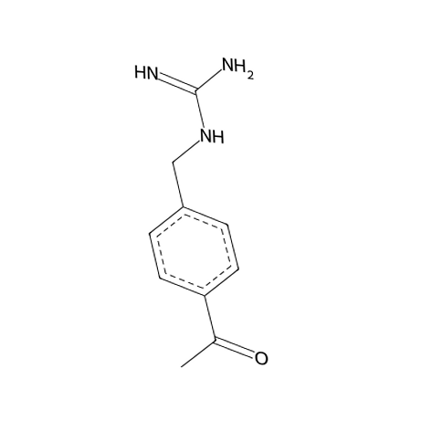 CC(=O)c1ccc(CNC(=N)N)cc1